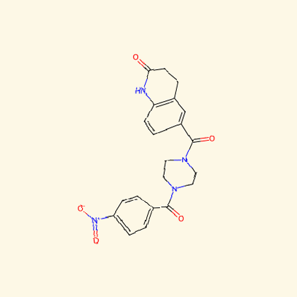 O=C1CCc2cc(C(=O)N3CCN(C(=O)c4ccc([N+](=O)[O-])cc4)CC3)ccc2N1